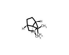 CC(C)[C@@H]1[C@@H]2CC[C@H]1CN(C)C2